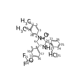 Cc1ccc(N(CCc2ccc(OC(F)F)cc2)C(=O)C(N)c2ccccc2)cc1C.Cl